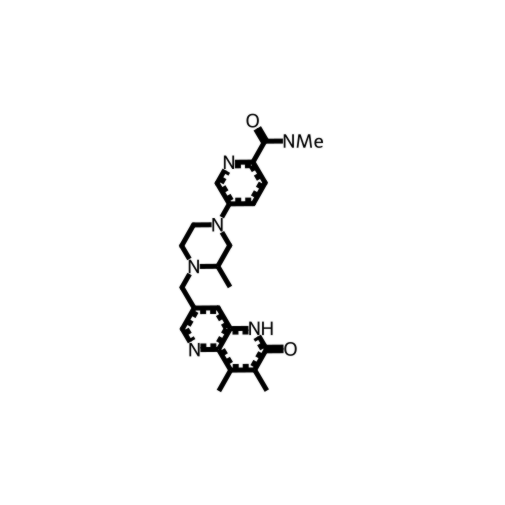 CNC(=O)c1ccc(N2CCN(Cc3cnc4c(C)c(C)c(=O)[nH]c4c3)C(C)C2)cn1